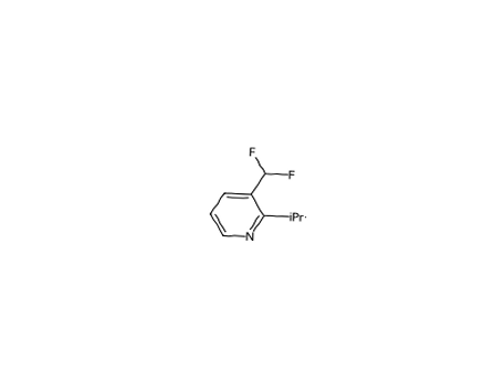 C[C](C)c1ncccc1C(F)F